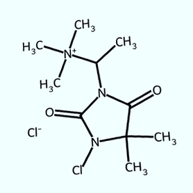 CC(N1C(=O)N(Cl)C(C)(C)C1=O)[N+](C)(C)C.[Cl-]